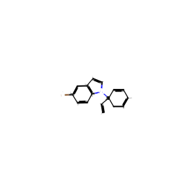 C=CC1(n2ccc3cc(Br)ccc32)C=CC=CC1